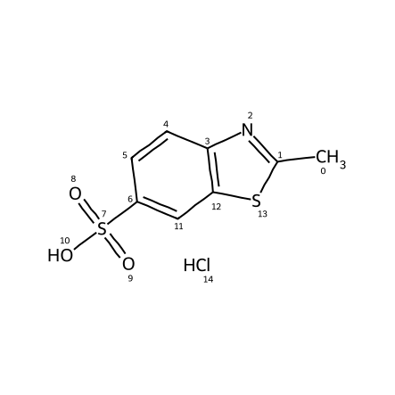 Cc1nc2ccc(S(=O)(=O)O)cc2s1.Cl